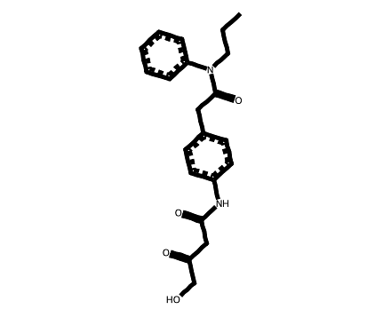 CCCN(C(=O)Cc1ccc(NC(=O)CC(=O)CO)cc1)c1ccccc1